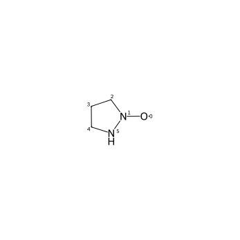 [O]N1CCCN1